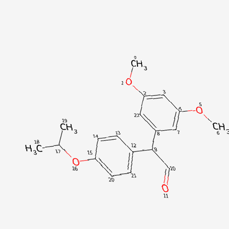 COc1cc(OC)cc(C(C=O)c2ccc(OC(C)C)cc2)c1